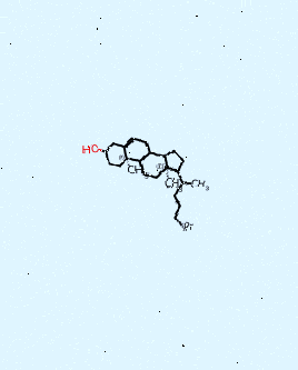 CC(C)CCCC(C)C1CCC2C3CC=C4CC(O)CC[C@]4(C)C3CC[C@]12C